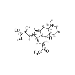 CCN(CC)C(=O)Nn1cc2c3c(cc(C(=O)C(F)(F)F)cc31)[C@H]1CCCN(C)[C@@H]1C2